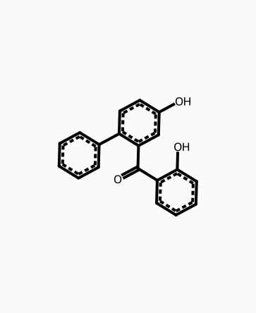 O=C(c1ccccc1O)c1cc(O)ccc1-c1ccccc1